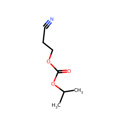 CC(C)OC(=O)OCCC#N